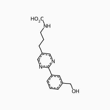 O=C(O)NCCCc1cnc(-c2cccc(CO)c2)nc1